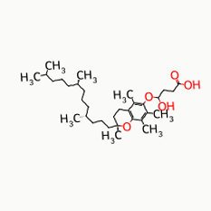 Cc1c(C)c2c(c(C)c1OC(O)CCC(=O)O)CC[C@@](C)(CCC[C@H](C)CCC[C@H](C)CCCC(C)C)O2